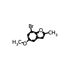 COc1cc(Br)c2oc(C)cc2c1